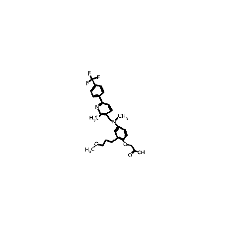 COCCCc1cc(N(C)Cc2ccc(-c3ccc(C(F)(F)F)cc3)nc2C)ccc1OCC(=O)O